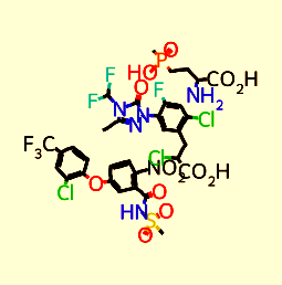 CP(=O)(O)CCC(N)C(=O)O.CS(=O)(=O)NC(=O)c1cc(Oc2ccc(C(F)(F)F)cc2Cl)ccc1[N+](=O)[O-].Cc1nn(-c2cc(CC(Cl)C(=O)O)c(Cl)cc2F)c(=O)n1C(F)F